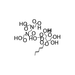 C/C=C/C=C/C(=O)O[C@@H]([C@H](OC(C)=O)[C@@H](O)CO)[C@H](O)CO.O=C(O)CN(CCN(CC(=O)O)CC(=O)O)CC(=O)O